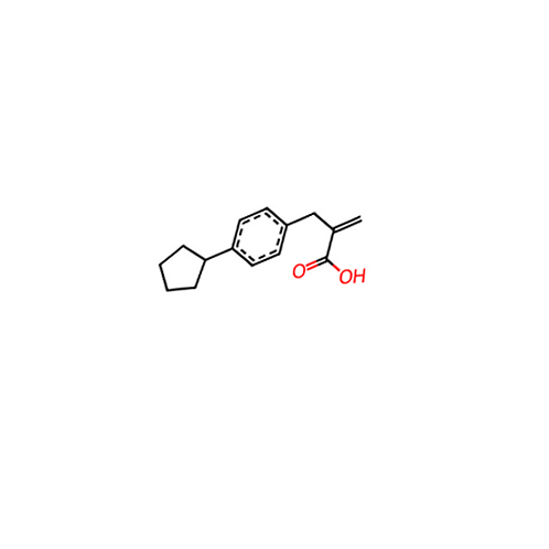 C=C(Cc1ccc(C2CCCC2)cc1)C(=O)O